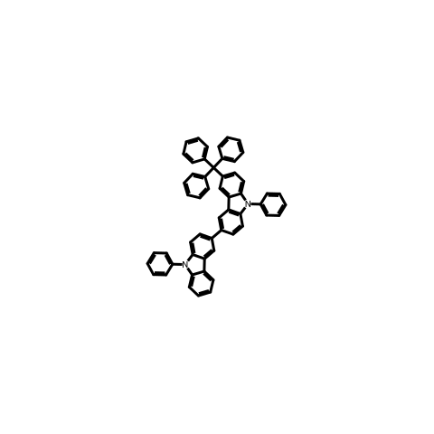 c1ccc(-n2c3ccccc3c3cc(-c4ccc5c(c4)c4cc(C(c6ccccc6)(c6ccccc6)c6ccccc6)ccc4n5-c4ccccc4)ccc32)cc1